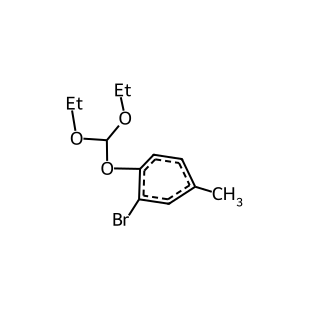 CCOC(OCC)Oc1ccc(C)cc1Br